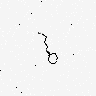 N#CCCCN=C1CCCCC1